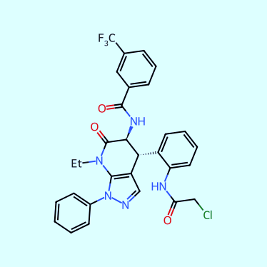 CCN1C(=O)[C@@H](NC(=O)c2cccc(C(F)(F)F)c2)[C@H](c2ccccc2NC(=O)CCl)c2cnn(-c3ccccc3)c21